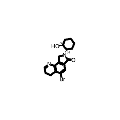 O=C1c2cc(Br)c3c(c2CN1[C@H]1CCCC[C@@H]1O)N=CCC3